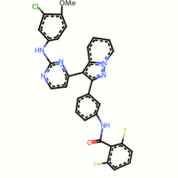 COc1ccc(Nc2nccc(-c3c(-c4cccc(NC(=O)c5c(F)cccc5F)c4)nn4ccccc34)n2)cc1Cl